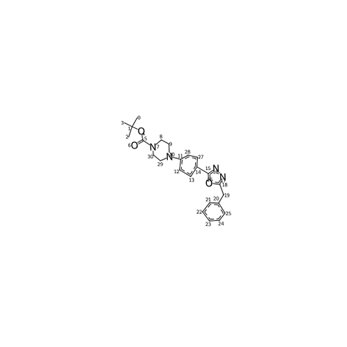 CC(C)(C)OC(=O)N1CCN(c2ccc(-c3nnc(Cc4ccccc4)o3)cc2)CC1